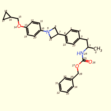 CC(Cc1ccc(C2CN(c3ccc(OCC4CC4)cc3)C2)cc1)NC(=O)OCc1ccccc1